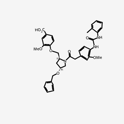 COc1cc(CC(=O)N2C[C@H](OCc3ccccc3)C[C@H]2COc2ccc(C(=O)O)cc2OC)ccc1NC(=O)Nc1ccccc1C